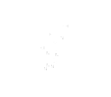 Cc1cnc(OC2CC3CC2N(C(=O)c2nc(C)ccc2-n2nccn2)C3)c(F)c1